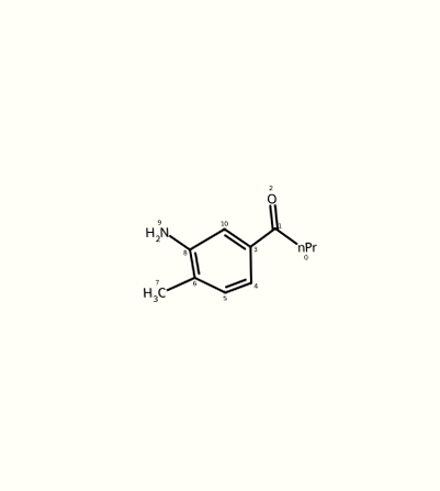 CCCC(=O)c1ccc(C)c(N)c1